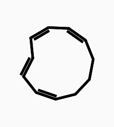 C1=C\C=C\C=C/CCC\C=C/1